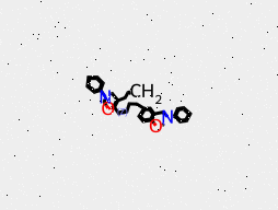 C=CCC1=C(/C=C\CCc2ccc3c(c2)CN(c2ccccc2)CO3)OCN(c2ccccc2)C1